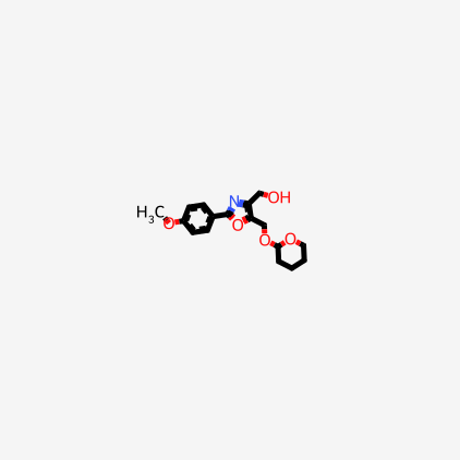 COc1ccc(-c2nc(CO)c(COC3CCCCO3)o2)cc1